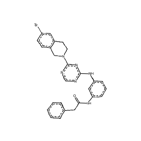 O=C(Cc1ccccc1)Nc1cccc(Nc2ncnc(N3CCc4cc(Br)ccc4C3)n2)c1